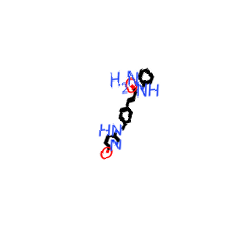 COc1ccc(NCc2ccc(C=CC(=O)Nc3ccccc3N)cc2)cn1